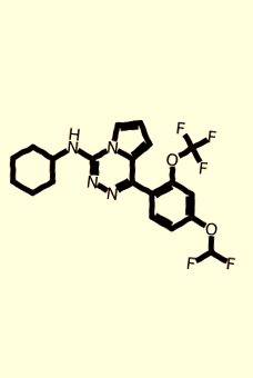 FC(F)Oc1ccc(-c2nnc(NC3CCCCC3)n3cccc23)c(OC(F)(F)F)c1